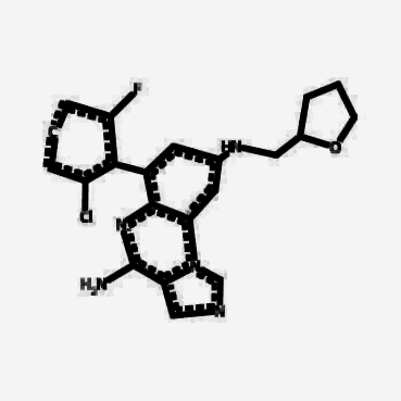 Nc1nc2c(-c3c(F)cccc3Cl)cc(NCC3CCCO3)cc2n2cncc12